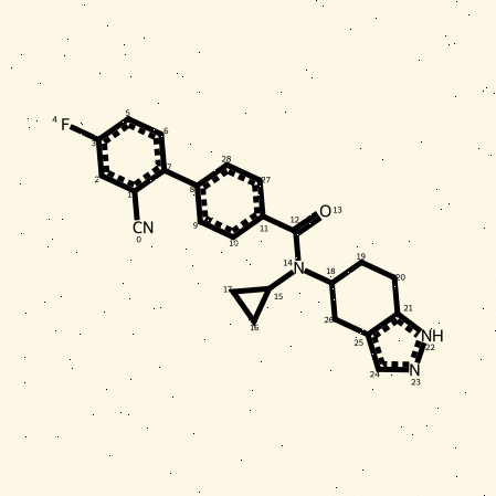 N#Cc1cc(F)ccc1-c1ccc(C(=O)N(C2CC2)C2CCc3[nH]ncc3C2)cc1